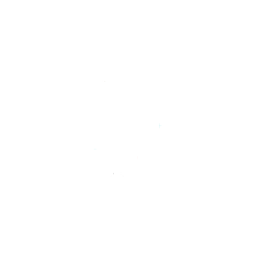 O=COc1c(F)cc(Br)cc1F